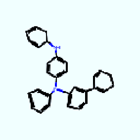 C1=CCC(Nc2ccc(N(c3ccccc3)c3cccc(C4=CCCC=C4)c3)cc2)C=C1